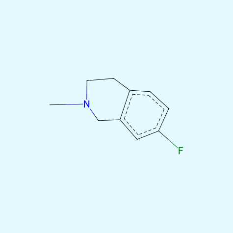 CN1CCc2ccc(F)cc2C1